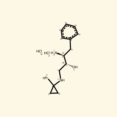 CCCC1(NC[C@@H](O)[C@@H](N)Cc2ccccc2)CC1.Cl.Cl